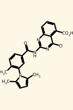 Cc1ccc(C(=O)Nc2nc(Cl)c3c(C(=O)O)cccc3n2)cc1-n1c(C)ccc1C